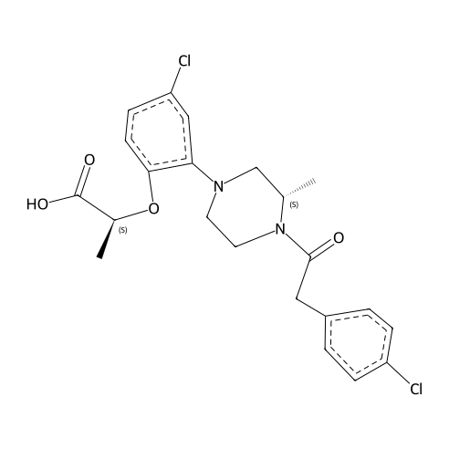 C[C@H](Oc1ccc(Cl)cc1N1CCN(C(=O)Cc2ccc(Cl)cc2)[C@@H](C)C1)C(=O)O